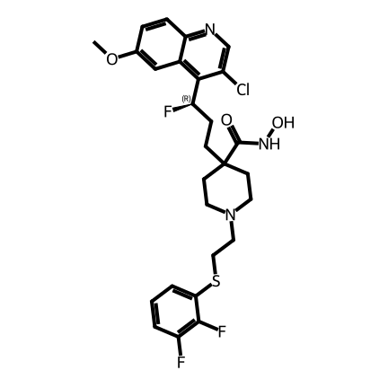 COc1ccc2ncc(Cl)c([C@H](F)CCC3(C(=O)NO)CCN(CCSc4cccc(F)c4F)CC3)c2c1